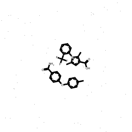 Cc1cc(C(=O)O)c(C)n1-c1ccccc1C(F)(F)F.Cc1ccc(Oc2ccc(C(N)=O)cc2)cc1